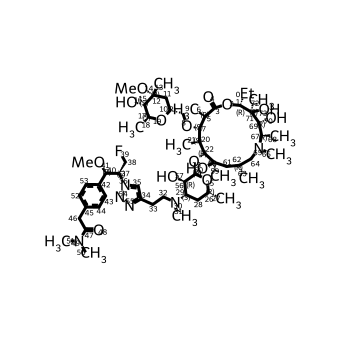 CC[C@H]1OC(=O)[C@H](C)[C@@H](OC[C@H]2C[C@@](C)(OC)[C@@H](O)[C@H](C)O2)[C@H](C)[C@@H](O[C@@H]2O[C@H](C)C[C@H](N(C)CCc3cn([C@H](CF)[C@H](OC)c4ccc(CC(=O)N(C)C)cc4)nn3)[C@H]2O)[C@](C)(O)C[C@@H](C)CN(C)[C@H](C)[C@@H](O)[C@]1(C)O